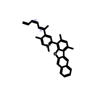 C=C/C=C\C=C(/C)c1cc(-c2c(C)cc(C)c3c2oc2cc4ccccc4cc23)[n+](C)cc1C